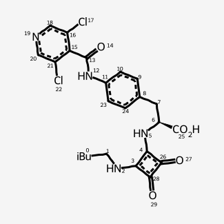 CCC(C)CNc1c(N[C@@H](Cc2ccc(NC(=O)c3c(Cl)cncc3Cl)cc2)C(=O)O)c(=O)c1=O